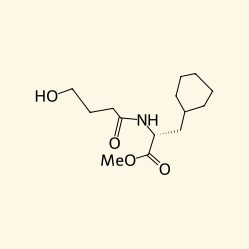 COC(=O)[C@@H](CC1CCCCC1)NC(=O)CCCO